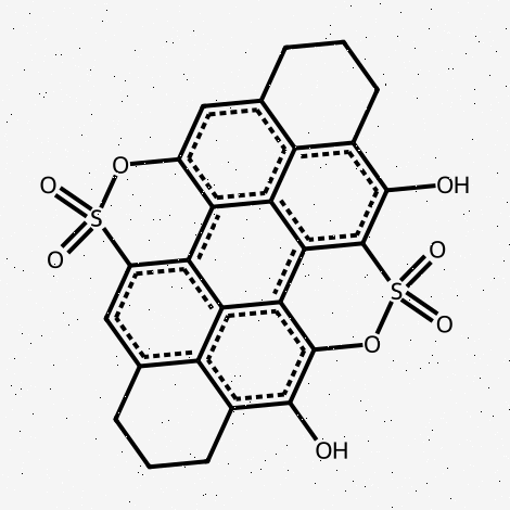 O=S1(=O)Oc2cc3c4c(c(O)c5c6c7c(c(O)c8c9c(cc1c(c2c46)c97)CCC8)OS5(=O)=O)CCC3